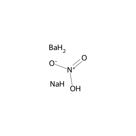 O=[N+]([O-])O.[BaH2].[NaH]